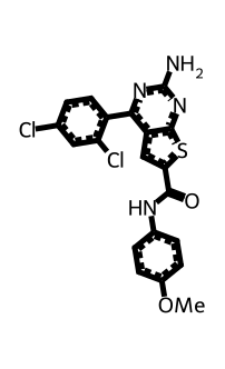 COc1ccc(NC(=O)c2cc3c(-c4ccc(Cl)cc4Cl)nc(N)nc3s2)cc1